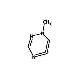 CN1C=C=NC=N1